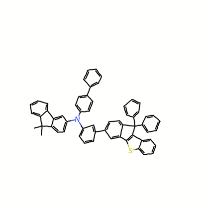 CC1(C)c2ccccc2-c2cc(N(c3ccc(-c4ccccc4)cc3)c3cccc(-c4ccc5c(c4)-c4sc6ccccc6c4C5(c4ccccc4)c4ccccc4)c3)ccc21